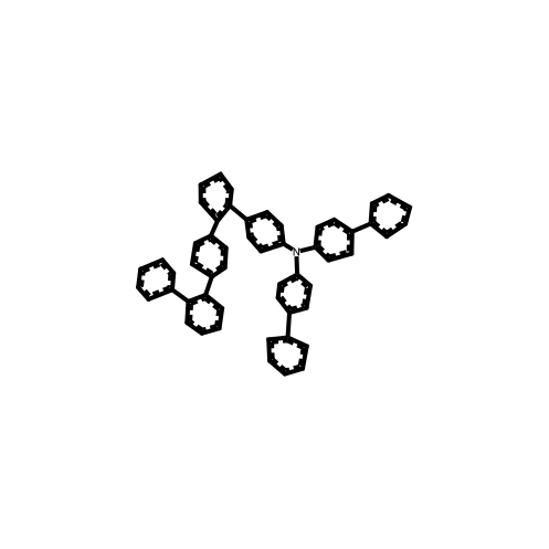 c1ccc(-c2ccc(N(c3ccc(-c4ccccc4)cc3)c3ccc(-c4ccccc4-c4ccc(-c5ccccc5-c5ccccc5)cc4)cc3)cc2)cc1